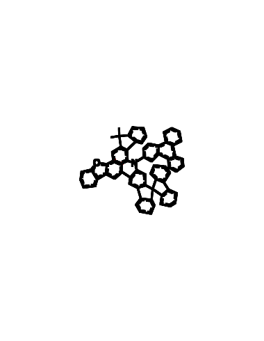 CC1(C)c2ccccc2-c2c(N(c3ccc4c5ccccc5c5ccccc5c4c3)c3cc4c(cc3-c3ccc5oc6ccccc6c5c3)-c3ccccc3C43c4ccccc4-c4ccccc43)cccc21